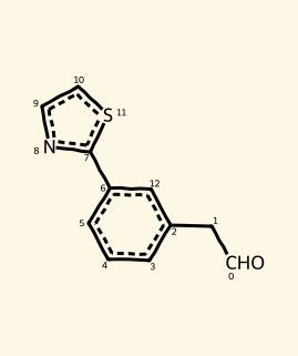 O=CCc1cccc(-c2nccs2)c1